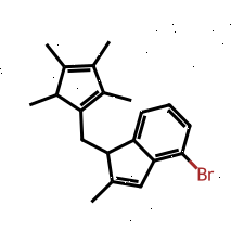 CC1=Cc2c(Br)cccc2C1CC1=C(C)C(C)=C(C)C1C